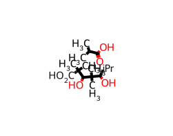 CC(C)C(=O)O.CC(C)C(O)C(C)(C)C(O)C(C)(C)C(=O)O